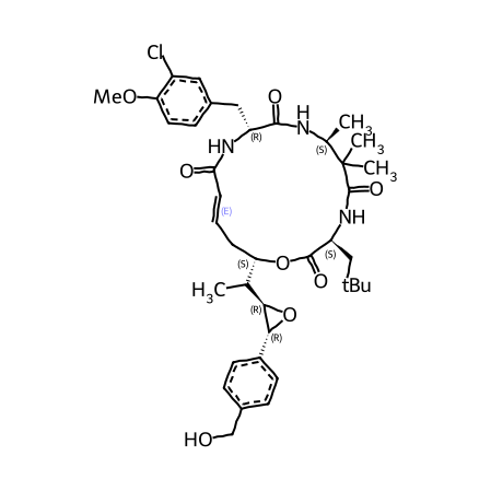 COc1ccc(C[C@H]2NC(=O)/C=C/C[C@@H](C(C)[C@H]3O[C@@H]3c3ccc(CO)cc3)OC(=O)[C@H](CC(C)(C)C)NC(=O)C(C)(C)[C@H](C)NC2=O)cc1Cl